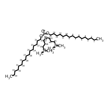 CCCCCCCCCCCCCCCCOP(=O)(OCCCCCCCCCCCCCCCC)N(CCCN(C)C)CCCN(C)C